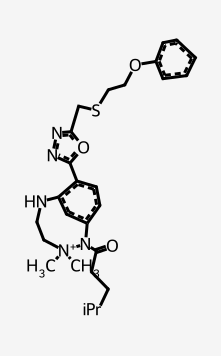 CC(C)CCC(=O)N1c2ccc(-c3nnc(CSCCOc4ccccc4)o3)c(c2)NCC[N+]1(C)C